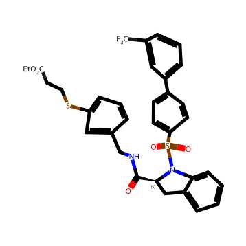 CCOC(=O)CCSc1cccc(CNC(=O)[C@@H]2Cc3ccccc3N2S(=O)(=O)c2ccc(-c3cccc(C(F)(F)F)c3)cc2)c1